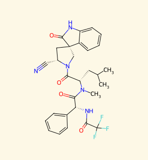 CC(C)C[C@@H](C(=O)N1C[C@]2(C[C@H]1C#N)C(=O)Nc1ccccc12)N(C)C(=O)[C@H](NC(=O)C(F)(F)F)c1ccccc1